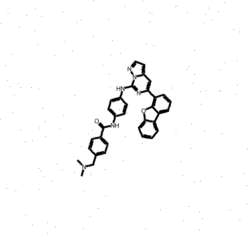 CN(C)Cc1ccc(C(=O)Nc2ccc(Nc3nc(-c4cccc5c4oc4ccccc45)cc4ccnn34)cc2)cc1